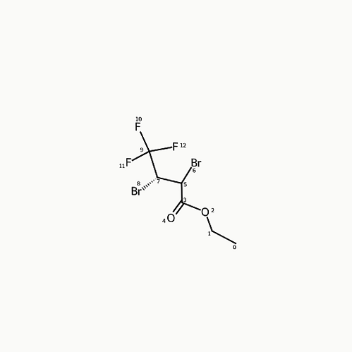 CCOC(=O)C(Br)[C@H](Br)C(F)(F)F